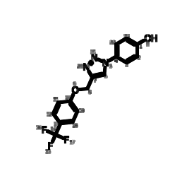 Oc1ccc(-n2cc(COc3ccc(C(F)(F)F)cc3)nn2)cc1